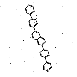 c1ccc(-c2ccc(-c3ccc4cc(-c5ccc(-c6ccncc6)cc5)ccc4c3)cc2)cc1